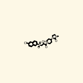 CN1CCN(C2CCN(C(=O)C(O)CS(=O)(=O)c3ccc4cc(Cl)ccc4c3)CC2)C1=O